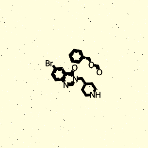 O=COCc1ccccc1.O=c1c2cc(Br)ccc2ncn1CC1CCNCC1